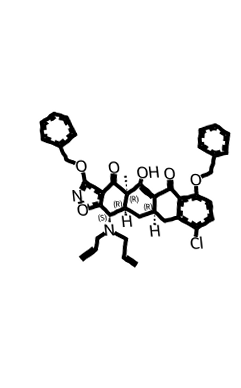 C=CCN(CC=C)[C@@H]1c2onc(OCc3ccccc3)c2C(=O)[C@@]2(C)C(O)=C3C(=O)c4c(OCc5ccccc5)ccc(Cl)c4C[C@H]3C[C@@H]12